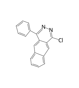 Clc1nnc(-c2ccccc2)c2cc3ccccc3cc12